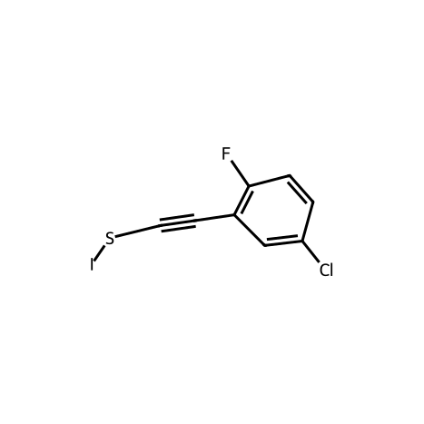 Fc1ccc(Cl)cc1C#CSI